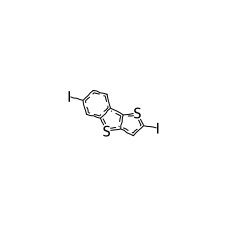 Ic1ccc2c(c1)sc1cc(I)sc12